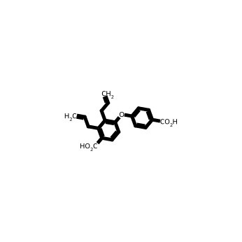 C=CCc1c(Oc2ccc(C(=O)O)cc2)ccc(C(=O)O)c1CC=C